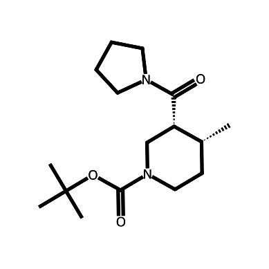 C[C@@H]1CCN(C(=O)OC(C)(C)C)C[C@@H]1C(=O)N1CCCC1